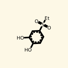 [CH2]CS(=O)(=O)c1ccc(O)c(O)c1